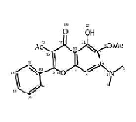 COc1c(N(C)C)cc2oc(-c3ccccc3)c(C(C)=O)c(=O)c2c1O